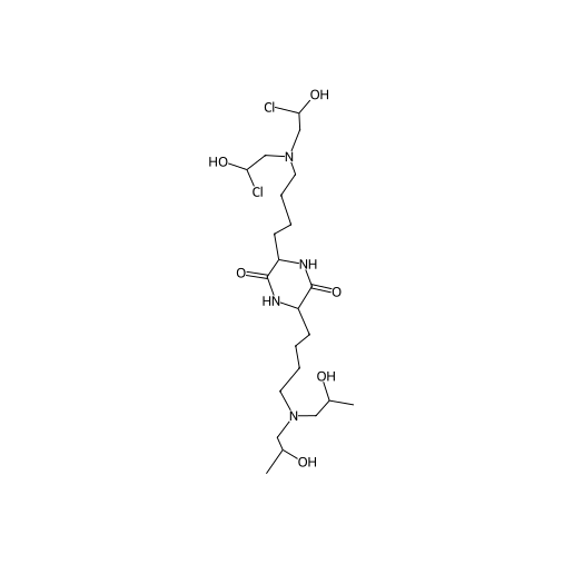 CC(O)CN(CCCCC1NC(=O)C(CCCCN(CC(O)Cl)CC(O)Cl)NC1=O)CC(C)O